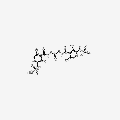 CCCCS(=O)(=O)Nc1ccc(Cl)c(C(=O)OCC(=O)COC(=O)c2c(Cl)ccc(NS(=O)(=O)CCCC)c2Cl)c1Cl